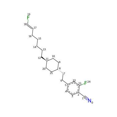 N#Cc1ccc(CC[C@H]2CC[C@H](CCCCC/C=C/F)CC2)cc1F